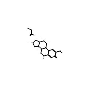 CCC(=O)O[C@H]1[C@H](C)C[C@H]2[C@@H]3C[C@H](F)C4=CC(=O)C(CF)=C[C@]4(C)[C@@]3(F)[C@@H](O)C[C@@]21C